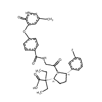 CCC(CC)(C(=O)O)[C@H]1CC[C@@H](c2cccc(F)c2)N1C(=O)CNC(=O)c1ccc(Oc2cc(C)n[nH]c2=O)cc1